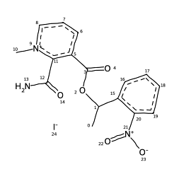 CC(OC(=O)c1ccc[n+](C)c1C(N)=O)c1ccccc1[N+](=O)[O-].[I-]